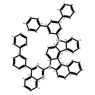 c1ccc(-c2cccc(-c3nc(-n4c5ccc6ccccc6c5c5c6c7ccccc7n(-c7cc(-c8ccccc8)cc(-c8ccccc8)c7)c6ccc54)nc4ccccc34)c2)cc1